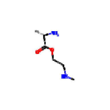 CNCCOC(=O)[C@H](C)N